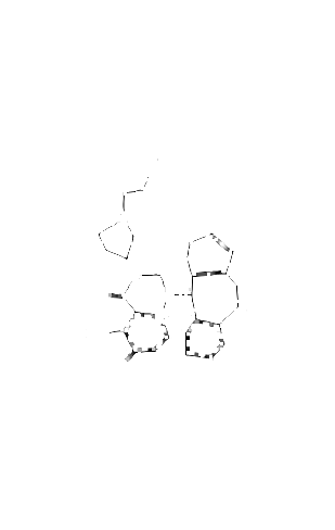 O=C1c2c(O)c(=O)ccn2N(C2C3=C(C=CCC3)CCc3ccccc32)CN1[C@@H]1CCN(CCO)C1